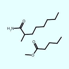 CCCCC(=O)OC.CCCCCCC(C)C(N)=O